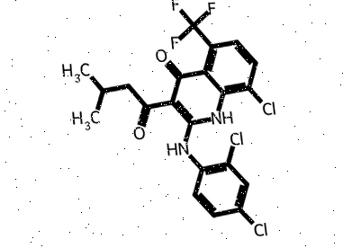 CC(C)CC(=O)c1c(Nc2ccc(Cl)cc2Cl)[nH]c2c(Cl)ccc(C(F)(F)F)c2c1=O